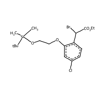 CCOC(=O)C(Br)c1ccc(Cl)cc1OCCO[Si](C)(C)C(C)(C)C